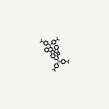 CC(C)c1ccc(N(c2ccc(C(C)C)cc2)c2ccc3c4c(ccc3c2)-c2c(cc(N(c3ccc(C(C)C)cc3)c3ccc(C(C)C)cc3)c3ccccc23)C42c3ccccc3-c3ccccc32)cc1